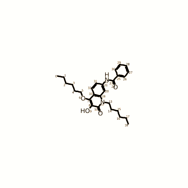 CCCCCCOc1c(O)c(=O)n(CCCCCC)c2cc(NC(=O)c3ccccc3)ccc12